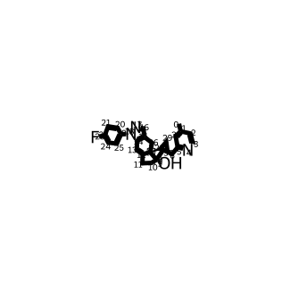 Cc1ccnc(CC[C@]2(O)CCC3=Cc4c(cnn4-c4ccc(F)cc4)C[C@@]32C2CC2)c1